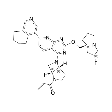 C=CC(=O)N1CC[C@@H]2[C@H]1CN2c1nc(OC[C@@]23CCCN2C[C@H](F)C3)nc2nc(-c3cncc4c3CCCC4)ccc12